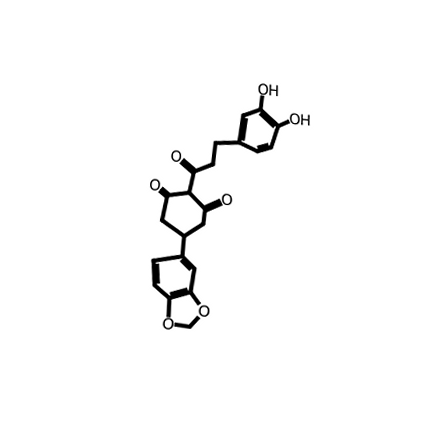 O=C(CCc1ccc(O)c(O)c1)C1C(=O)CC(c2ccc3c(c2)OCO3)CC1=O